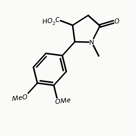 COc1ccc(C2C(C(=O)O)CC(=O)N2C)cc1OC